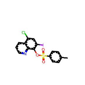 Cc1ccc(S(=O)(=O)Oc2c(I)cc(Cl)c3cccnc23)cc1